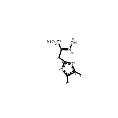 CCOC(=O)C(Cc1nc(C)c(C)o1)=NO